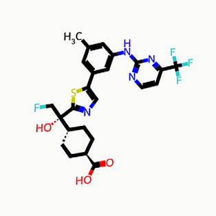 Cc1cc(Nc2nccc(C(F)(F)F)n2)cc(-c2cnc([C@](O)(CF)[C@H]3CC[C@H](C(=O)O)CC3)s2)c1